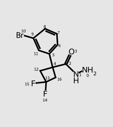 NNC(=O)C1(c2cccc(Br)c2)CC(F)(F)C1